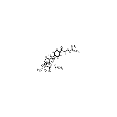 CCC[C@H]1C(=O)N(S(C)(=O)=O)[C@H]2CCN(S(=O)(=O)c3ccc(C(=O)NCCN(C)C)cc3)[C@H]12